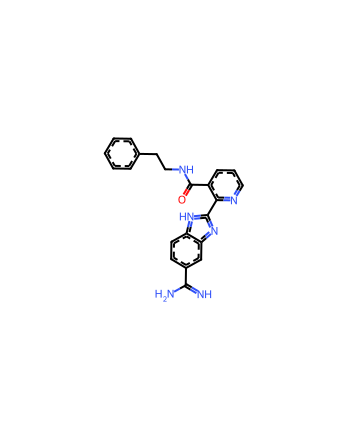 N=C(N)c1ccc2[nH]c(-c3ncccc3C(=O)NCCc3ccccc3)nc2c1